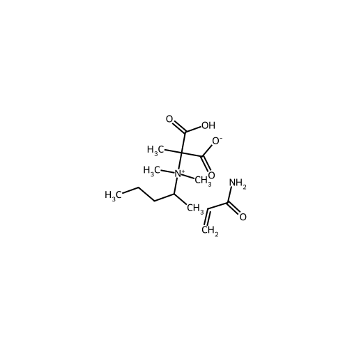 C=CC(N)=O.CCCC(C)[N+](C)(C)C(C)(C(=O)[O-])C(=O)O